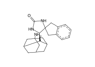 NC12CC3CC(C1)C([C@H]1NC(=O)NC14Cc1ccccc1C4)C(C3)C2